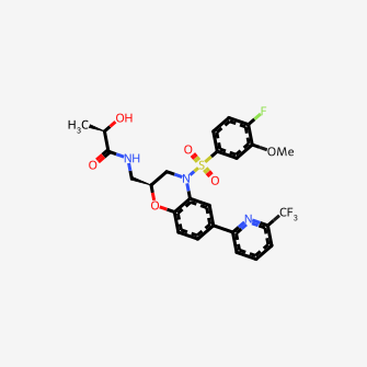 COc1cc(S(=O)(=O)N2C[C@H](CNC(=O)[C@@H](C)O)Oc3ccc(-c4cccc(C(F)(F)F)n4)cc32)ccc1F